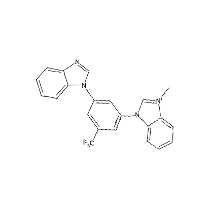 C[n+]1cn(-c2cc(-n3cnc4ccccc43)cc(C(F)(F)F)c2)c2ccccc21